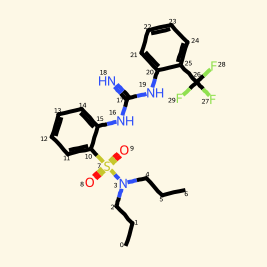 CCCN(CCC)S(=O)(=O)c1ccccc1NC(=N)Nc1ccccc1C(F)(F)F